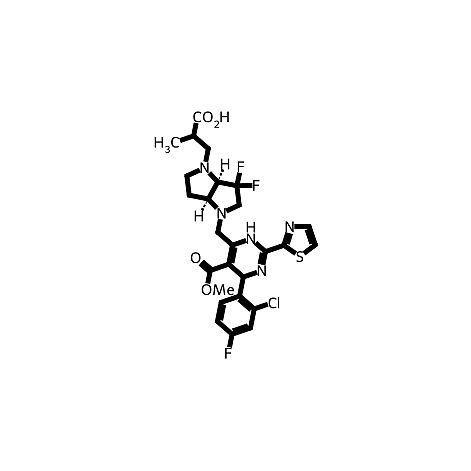 COC(=O)C1=C(CN2CC(F)(F)[C@H]3[C@@H]2CCN3CC(C)C(=O)O)NC(c2nccs2)=NC1c1ccc(F)cc1Cl